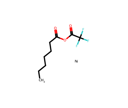 CCCCCCC(=O)OC(=O)C(F)(F)F.[Ni]